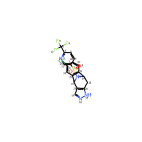 O=S(=O)(c1ccc(C(F)(F)F)nc1)N1C2Cc3[nH]ncc3C1c1cc(Cl)ccc12